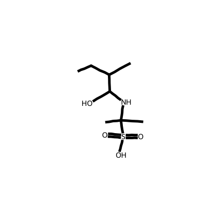 CCC(C)C(O)NC(C)(C)S(=O)(=O)O